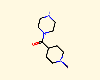 O=C(C1CCN(I)CC1)N1CCNCC1